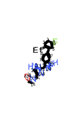 CCc1ccc(F)cc1-c1ccc2c(-c3nc(CN4CCOC4)c[nH]3)n[nH]c2c1